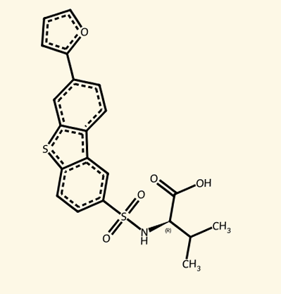 CC(C)[C@@H](NS(=O)(=O)c1ccc2sc3cc(-c4ccco4)ccc3c2c1)C(=O)O